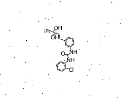 CC(C)[Si](O)(O)C=Cc1cccc(NC(=O)Nc2ccccc2Cl)c1